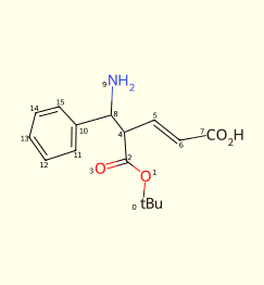 CC(C)(C)OC(=O)C(/C=C/C(=O)O)C(N)c1ccccc1